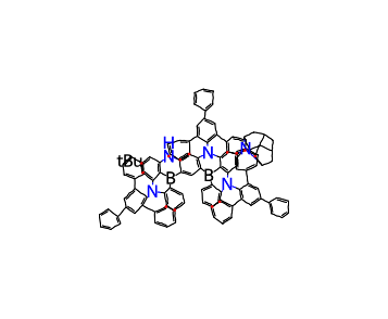 CC(C)(C)c1cc2c3c(c1)N(c1c(-c4ccccc4)cc(-c4ccccc4)cc1-c1ccccc1)c1ccccc1B3c1cc3c(cc1N2)N(c1c(-c2ccccc2)cc(-c2ccccc2)cc1-c1ccccc1)c1cc(N2C4CC5CC6CC2CC56C4)cc2c1B3c1ccccc1N2c1c(-c2ccccc2)cc(-c2ccccc2)cc1-c1ccccc1